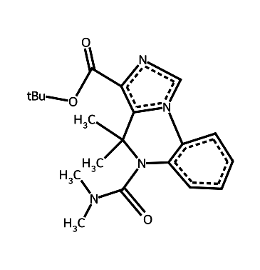 CN(C)C(=O)N1c2ccccc2-n2cnc(C(=O)OC(C)(C)C)c2C1(C)C